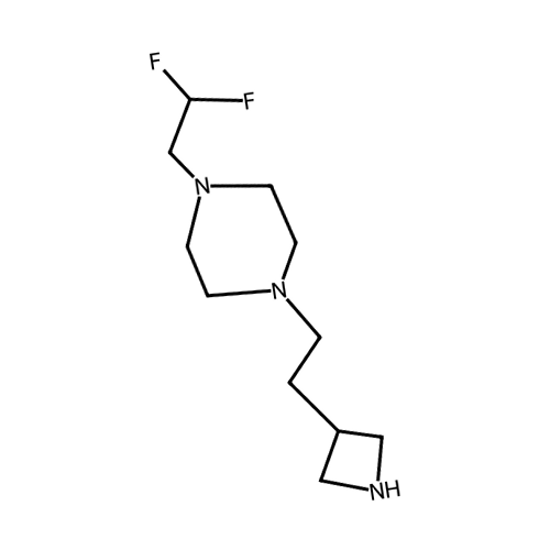 FC(F)CN1CCN(CCC2CNC2)CC1